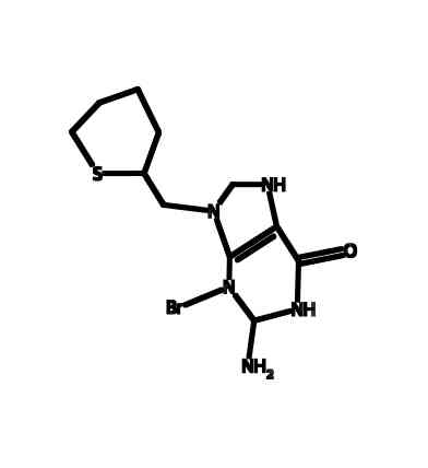 NC1NC(=O)C2=C(N(CC3CCCCS3)CN2)N1Br